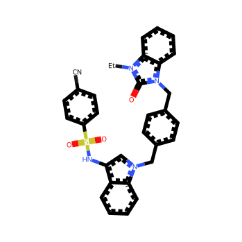 CCn1c(=O)n(Cc2ccc(Cn3cc(NS(=O)(=O)c4ccc(C#N)cc4)c4ccccc43)cc2)c2ccccc21